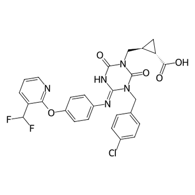 O=C(O)[C@H]1C[C@@H]1Cn1c(=O)[nH]/c(=N\c2ccc(Oc3ncccc3C(F)F)cc2)n(Cc2ccc(Cl)cc2)c1=O